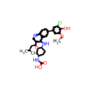 COc1cc(-c2ccc3ncc(C(=O)CC(C)C)c(N[C@H]4CC[C@H](NC(=O)O)CC4)c3c2)cc(Cl)c1O